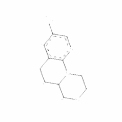 N#Cc1cnc2c(c1)CCC1CNCCN21